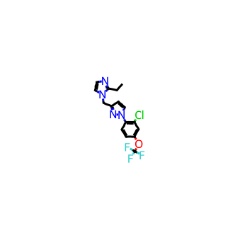 CCc1nccn1Cc1ccn(-c2ccc(OC(F)(F)F)cc2Cl)n1